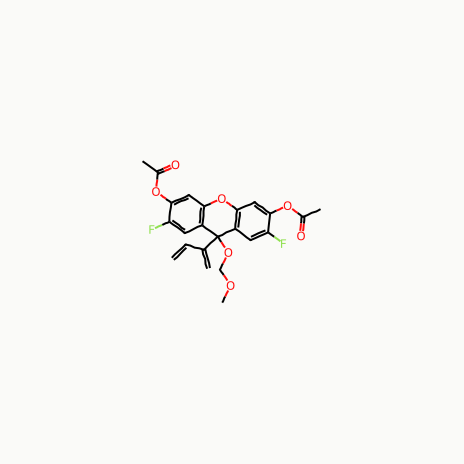 C=CC(=C)C1(OCOC)c2cc(F)c(OC(C)=O)cc2Oc2cc(OC(C)=O)c(F)cc21